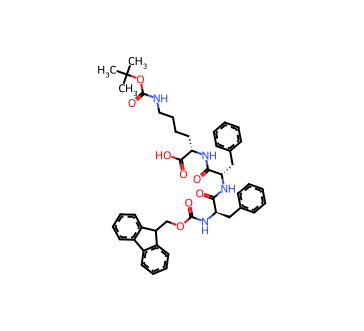 CC(C)(C)OC(=O)NCCCC[C@H](NC(=O)[C@H](Cc1ccccc1)NC(=O)[C@@H](Cc1ccccc1)NC(=O)OCC1c2ccccc2-c2ccccc21)C(=O)O